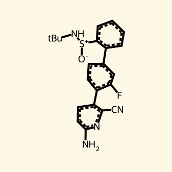 CC(C)(C)N[S+]([O-])c1ccccc1-c1ccc(-c2ccc(N)nc2C#N)c(F)c1